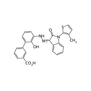 Cc1ccsc1N1C(=O)/C(=N\Nc2cccc(-c3cccc(C(=O)O)c3)c2O)c2ccccc21